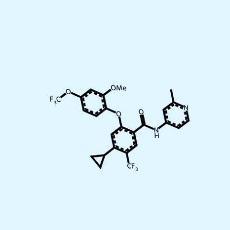 COc1cc(OC(F)(F)F)ccc1Oc1cc(C2CC2)c(C(F)(F)F)cc1C(=O)Nc1ccnc(C)c1